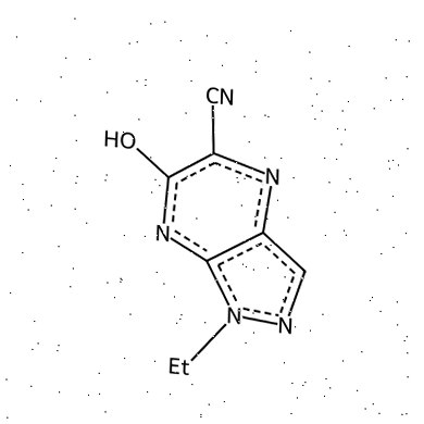 CCn1ncc2nc(C#N)c(O)nc21